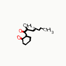 CCCCCC(C)C(=O)C1CCCCC1=O